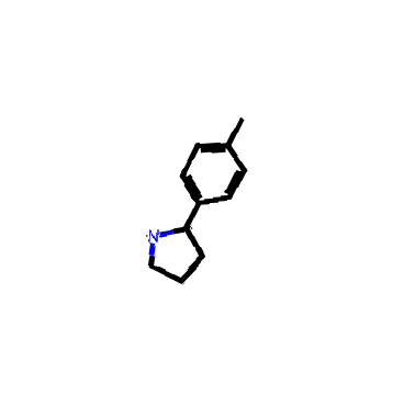 Cc1ccc([C]2CCC[N]2)cc1